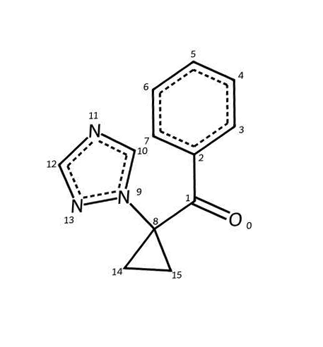 O=C(c1ccccc1)C1(n2cncn2)CC1